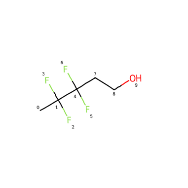 CC(F)(F)C(F)(F)CCO